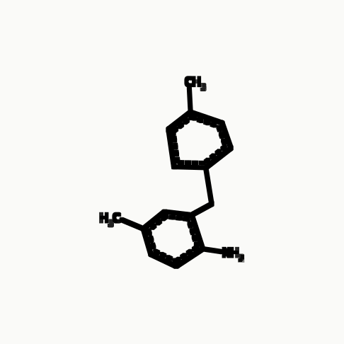 Cc1ccc(Cc2cc(C)ccc2N)cc1